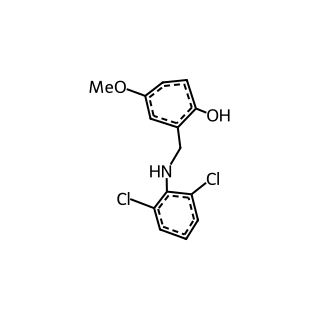 COc1ccc(O)c(CNc2c(Cl)cccc2Cl)c1